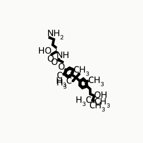 CCC(CC)(c1ccc(CCC(O)C(C)(C)C)c(C)c1)c1ccc(OCC(=O)N[C@@H](CCCCN)C(=O)O)c(C)c1